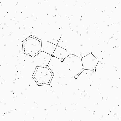 CC(C)(C)[Si](OC[C@@H]1CCOC1=O)(c1ccccc1)c1ccccc1